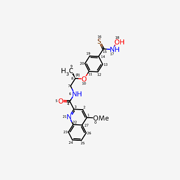 COc1cc(C(=O)NC[C@@H](C)Oc2ccc(C(=S)NO)cc2)nc2ccccc12